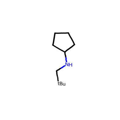 CC(C)(C)CNC1CCCC1